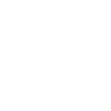 Oc1ccc2c(c1)C(c1ccc(OCCCCCCCCN3CCCC3)cc1)[C@@H](c1ccccc1)CO2